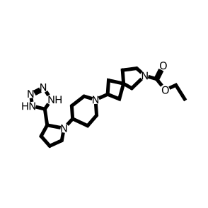 CCOC(=O)N1CCC2(CC(N3CCC(N4CCCC4C4NN=NN4)CC3)C2)C1